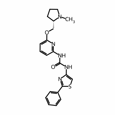 CN1CCC[C@H]1COc1cccc(NC(=O)Nc2csc(-c3ccccc3)n2)n1